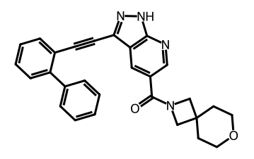 O=C(c1cnc2[nH]nc(C#Cc3ccccc3-c3ccccc3)c2c1)N1CC2(CCOCC2)C1